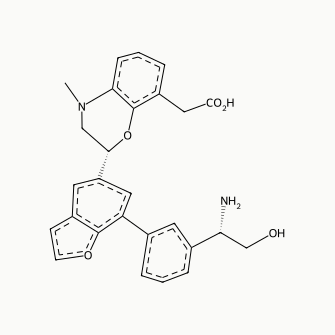 CN1C[C@@H](c2cc(-c3cccc([C@H](N)CO)c3)c3occc3c2)Oc2c(CC(=O)O)cccc21